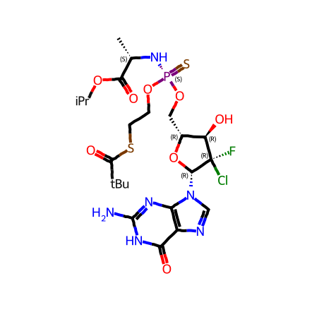 CC(C)OC(=O)[C@H](C)N[P@@](=S)(OCCSC(=O)C(C)(C)C)OC[C@H]1O[C@@H](n2cnc3c(=O)[nH]c(N)nc32)[C@](F)(Cl)[C@@H]1O